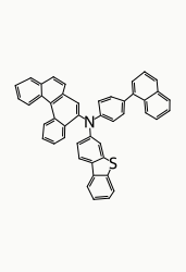 c1ccc2c(-c3ccc(N(c4ccc5c(c4)sc4ccccc45)c4cc5ccc6ccccc6c5c5ccccc45)cc3)cccc2c1